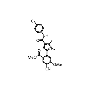 COC(=O)c1cc(C#N)c(OC)cc1-c1cc(C(=O)Nc2ccc(Cl)cc2)c(C)n1C